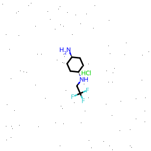 Cl.N[C@H]1CC[C@H](NCC(F)(F)F)CC1